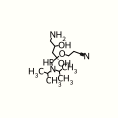 CC(C)N(P[C@@](O)(CC(O)CN)OCCC#N)C(C)C